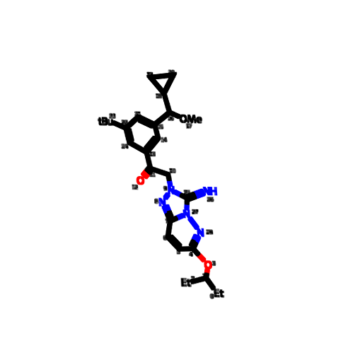 CCC(CC)Oc1ccc2nn(CC(=O)c3cc(C(OC)C4CC4)cc(C(C)(C)C)c3)c(=N)n2n1